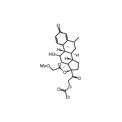 CCC(=O)OCC(=O)[C@@]1(OC(=O)COC)CC[C@H]2[C@@H]3CC(C)C4=CC(=O)C=C[C@]4(C)[C@H]3C(O)C[C@@]21C